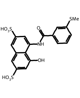 CSc1cccc(C(=O)Nc2cc(S(=O)(=O)O)cc3cc(S(=O)(=O)O)cc(O)c23)c1